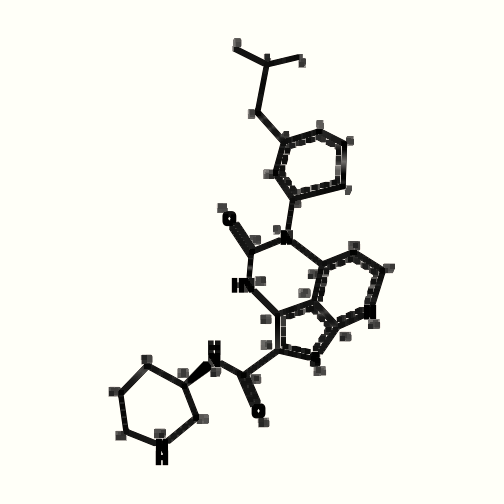 CC(C)Cc1cccc(N2C(=O)Nc3c(C(=O)N[C@@H]4CCCNC4)sc4nccc2c34)c1